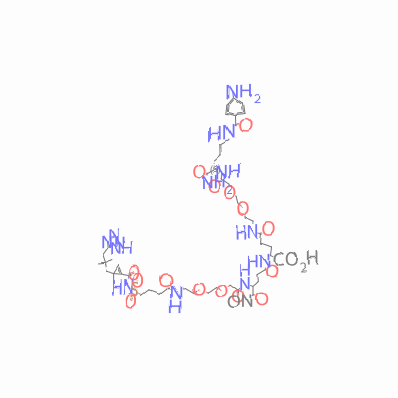 CC(C)(Cc1nnn[nH]1)CC1(C)C=C1C(=O)NS(=O)(=O)CCCC(=O)NCCOCCOCC(=O)NC(CCC(=O)NC(CCC(=O)NCCOCCOCC(=O)N[C@@H](CCCCNC(=O)c1ccc(N)cc1)C(N)=O)C(=O)O)C(=O)N=O